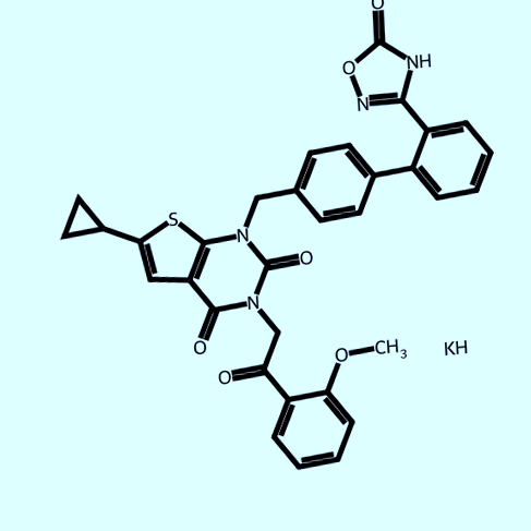 COc1ccccc1C(=O)Cn1c(=O)c2cc(C3CC3)sc2n(Cc2ccc(-c3ccccc3-c3noc(=O)[nH]3)cc2)c1=O.[KH]